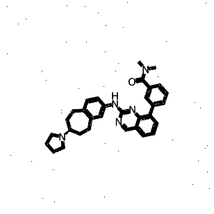 CN(C)C(=O)c1cccc(-c2cccc3cnc(Nc4ccc5c(c4)CC[C@@H](N4CCCC4)CC5)nc23)c1